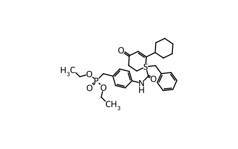 CCOP(=O)(Cc1ccc(NC(=O)S2(Cc3ccccc3)CCC(=O)C=C2C2CCCCC2)cc1)OCC